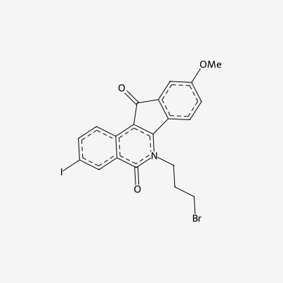 COc1ccc2c(c1)C(=O)c1c-2n(CCCBr)c(=O)c2cc(I)ccc12